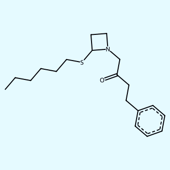 CCCCCCSC1CCN1CC(=O)CCc1ccccc1